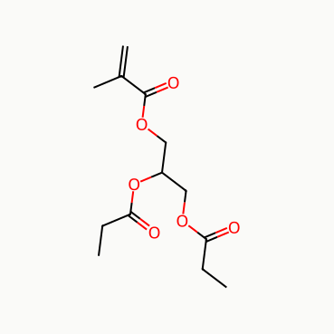 C=C(C)C(=O)OCC(COC(=O)CC)OC(=O)CC